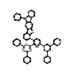 c1ccc(-c2cc(-c3ccccc3)cc(-c3ccc(-c4cccc5c4sc4cc6c7ccccc7n(-c7ccccc7)c6cc45)c(-c4nc(-c5ccccc5)nc(-c5ccccc5)n4)n3)c2)cc1